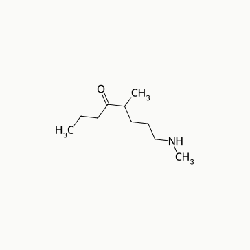 CCCC(=O)C(C)CCCNC